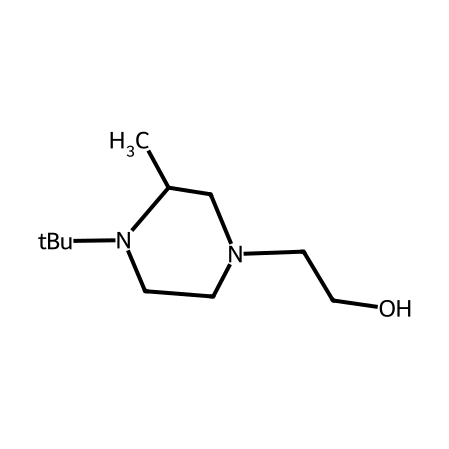 CC1CN(CCO)CCN1C(C)(C)C